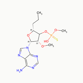 CCC[C@H]1O[C@@H](n2cnc3c(N)ncnc32)[C@@H](OC)C1OP(O)(=S)OC